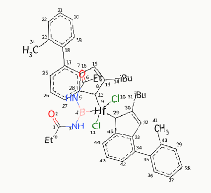 CCC(=O)N[B](NC(=O)CC)[Hf]([Cl])([Cl])([CH]1C(C(C)CC)=Cc2c(-c3ccccc3C)cccc21)[CH]1C(C(C)CC)=Cc2c(-c3ccccc3C)cccc21